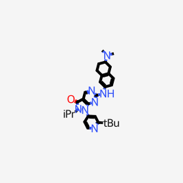 CC(C)n1c(=O)c2cnc(Nc3ccc4c(c3)CCC(N(C)C)C4)nc2n1-c1ccnc(C(C)(C)C)c1